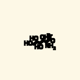 N[C@@H](C(=O)Br)[C@@H](O)[C@H](O)[C@H](O)CO